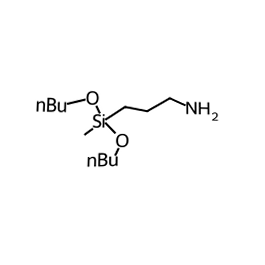 CCCCO[Si](C)(CCCN)OCCCC